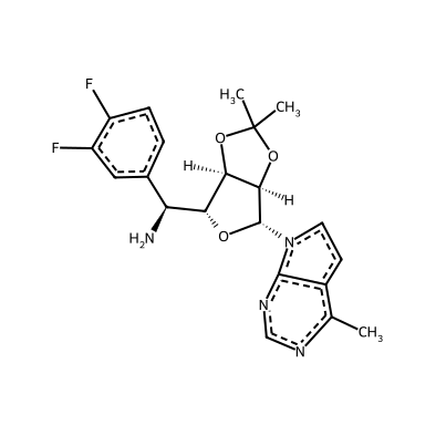 Cc1ncnc2c1ccn2[C@@H]1O[C@H]([C@@H](N)c2ccc(F)c(F)c2)[C@H]2OC(C)(C)O[C@H]21